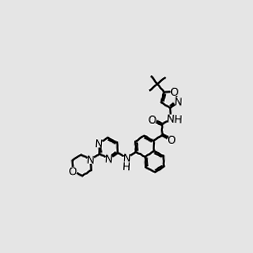 CC(C)(C)c1cc(NC(=O)C(=O)c2ccc(Nc3ccnc(N4CCOCC4)n3)c3ccccc23)no1